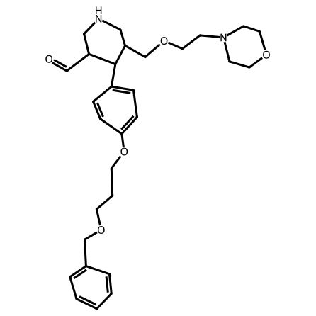 O=CC1CNCC(COCCN2CCOCC2)C1c1ccc(OCCCOCc2ccccc2)cc1